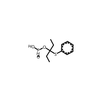 CCC(CC)(O[PH](=O)O)Sc1ccccc1